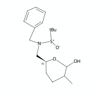 CC1CC[C@@H](CN(Cc2ccccc2)[S+]([O-])C(C)(C)C)OC1O